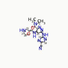 CCN(CC)C(=O)c1nnc(Nc2cnc(C#N)cn2)cc1NCC1CNCCO1